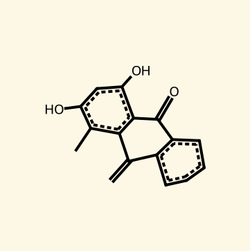 C=C1c2ccccc2C(=O)c2c(O)cc(O)c(C)c21